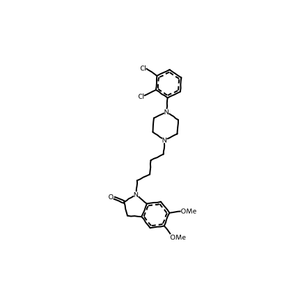 COc1cc2c(cc1OC)N(CCCCN1CCN(c3cccc(Cl)c3Cl)CC1)C(=O)C2